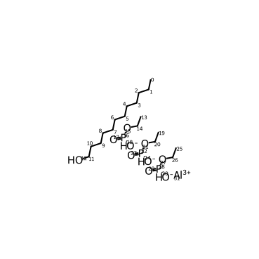 CCCCCCCCCCCCO.CCO[PH](=O)[O-].CCO[PH](=O)[O-].CCO[PH](=O)[O-].[Al+3]